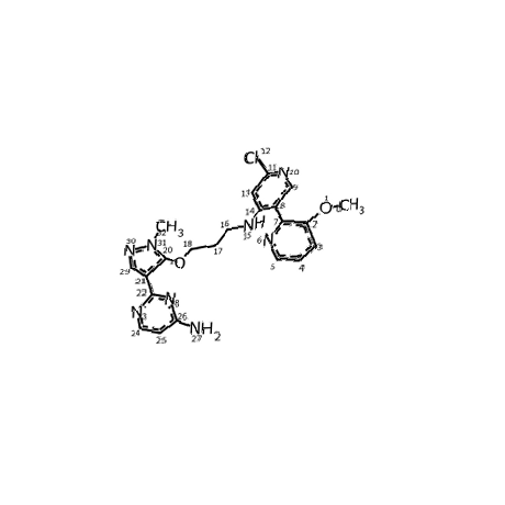 COc1cccnc1-c1cnc(Cl)cc1NCCCOc1c(-c2nccc(N)n2)cnn1C